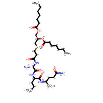 CCCCCCCCCCCCCCCC(=O)OC[C@H](CSCCC(=O)N[C@@H](N)C(=O)NC(CCC(=O)O)C(=O)NC(CCC(N)=O)C(=O)O)OC(=O)CCCCCCCCCCCCCCC